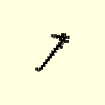 CCCCCCCCCCCCCCCC=CC(=O)OC[C@H]1OC(OCC)[C@H](O)[C@@H](O)[C@@H]1O